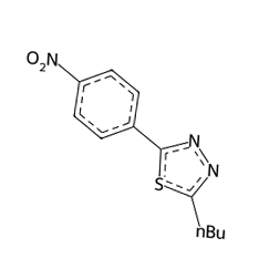 CCCCc1nnc(-c2ccc([N+](=O)[O-])cc2)s1